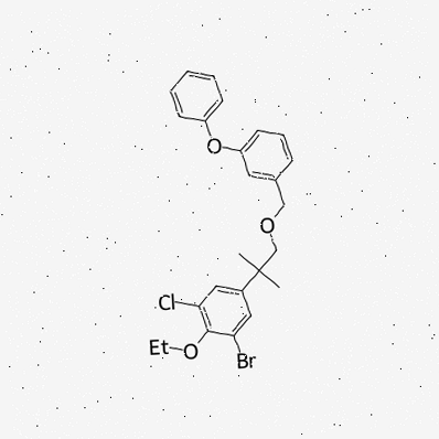 CCOc1c(Cl)cc(C(C)(C)COCc2cccc(Oc3ccccc3)c2)cc1Br